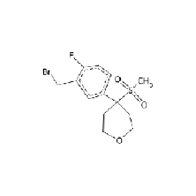 CS(=O)(=O)C1(c2ccc(F)c(CBr)c2)CCOCC1